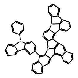 c1ccc(-n2c3ccccc3c3cc(-c4c5ccccc5cc5c6c7ccccc7cc7c8c9c%10cccc%11c%12ccccc%12n(c9cnc8n(c45)c76)c%11%10)ccc32)cc1